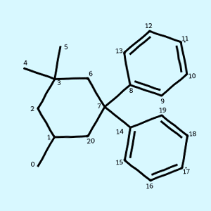 CC1CC(C)(C)CC(c2cc[c]cc2)(c2cc[c]cc2)C1